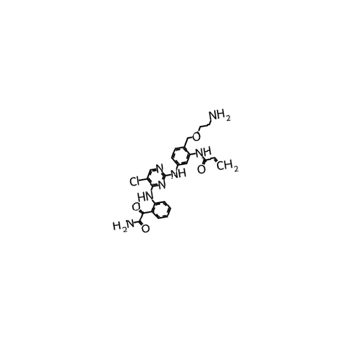 C=CC(=O)Nc1cc(Nc2ncc(Cl)c(Nc3ccccc3C(=O)C(N)=O)n2)ccc1COCCN